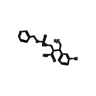 CCC(c1cccc(Cl)c1)C(CNC(=O)OCc1ccccc1)C(=O)O